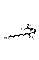 CCCCCCCCCCCCCCCCCC(C)n1ccnc1C(C)CCCCCCCCC